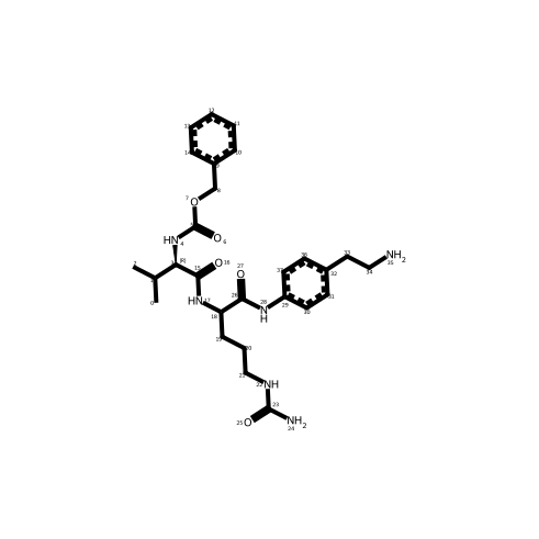 CC(C)[C@@H](NC(=O)OCc1ccccc1)C(=O)NC(CCCNC(N)=O)C(=O)Nc1ccc(CCN)cc1